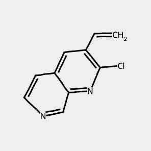 C=Cc1cc2ccncc2nc1Cl